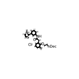 CCCCCCCCCCCCOc1c(F)cccc1CC(=O)Nc1cccc(-c2scc[n+]2C)c1.[Cl-]